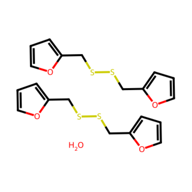 O.c1coc(CSSCc2ccco2)c1.c1coc(CSSCc2ccco2)c1